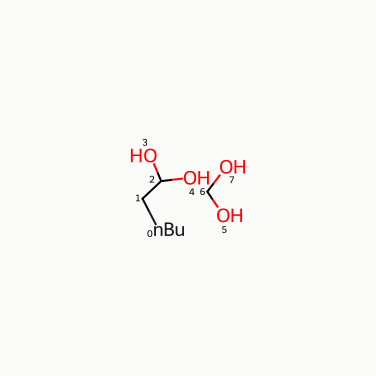 CCCCCC(O)O.OCO